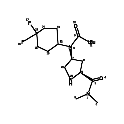 CN(C)C(=O)[C@@H]1C[C@H](N(C(=O)C(C)(C)C)C2CCC(F)(F)CC2)CN1